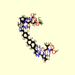 COC(=O)NC(C(=O)N1CC2(CC2)C[C@H]1c1ncc(-c2ccc3cc(-c4ccc(-c5cnc([C@@H]6[C@H]7CC[C@H](C7)N6C(=O)[C@H](CCOC(F)F)NC(=O)OC)[nH]5)cc4)ccc3c2)[nH]1)C(C)C